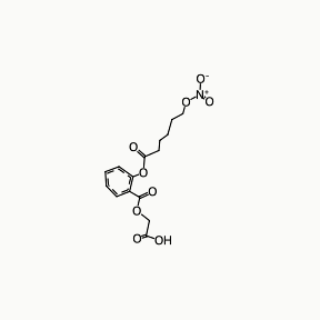 O=C(O)COC(=O)c1ccccc1OC(=O)CCCCCO[N+](=O)[O-]